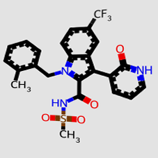 Cc1ccccc1Cn1c(C(=O)NS(C)(=O)=O)c(-c2ccc[nH]c2=O)c2cc(C(F)(F)F)ccc21